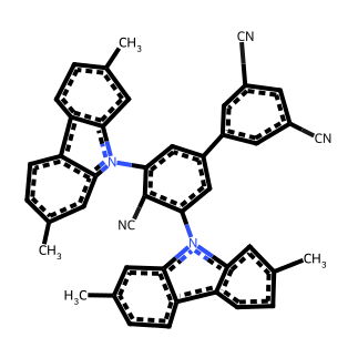 Cc1ccc2c3ccc(C)cc3n(-c3cc(-c4cc(C#N)cc(C#N)c4)cc(-n4c5cc(C)ccc5c5ccc(C)cc54)c3C#N)c2c1